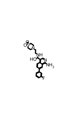 Nc1ncc(C(O)NCCN2CCS(=O)(=O)CC2)c2ccc(-c3cccc(F)c3)cc12